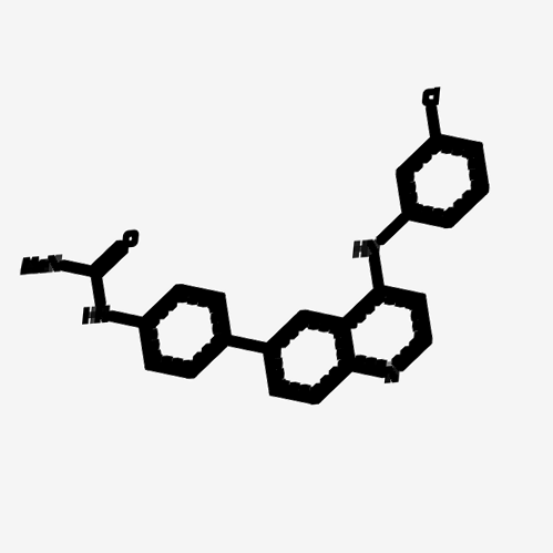 CNC(=O)Nc1ccc(-c2ccc3nccc(Nc4cccc(Cl)c4)c3c2)cc1